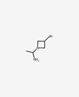 CC(C)C1CN(C(C)N)C1